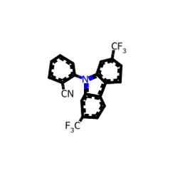 N#Cc1ccccc1-n1c2cc(C(F)(F)F)ccc2c2ccc(C(F)(F)F)cc21